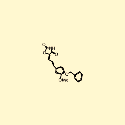 COc1cc(C=CC=C2OC(=O)NC2=O)ccc1OCc1ccccc1